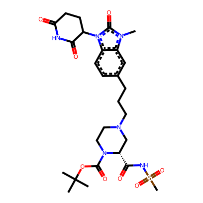 Cn1c(=O)n(C2CCC(=O)NC2=O)c2ccc(CCCN3CCN(C(=O)OC(C)(C)C)[C@@H](C(=O)NS(C)(=O)=O)C3)cc21